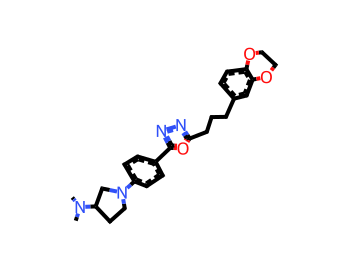 CN(C)C1CCN(c2ccc(-c3nnc(CCCc4ccc5c(c4)OCCO5)o3)cc2)C1